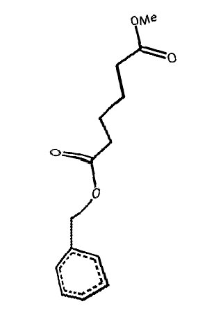 COC(=O)CCCCC(=O)OCc1ccccc1